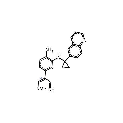 CN/C=C(\C=N)c1ccc(N)c(NC2(c3ccc4ncccc4c3)CC2)n1